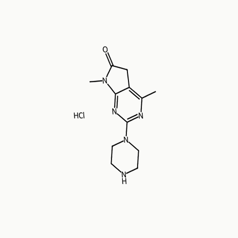 Cc1nc(N2CCNCC2)nc2c1CC(=O)N2C.Cl